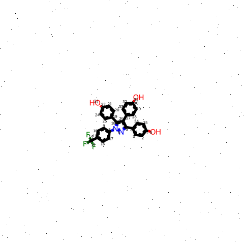 Oc1ccc(-c2nn(-c3ccc(C(F)(F)F)cc3)c(-c3ccc(O)cc3)c2-c2ccc(O)cc2)cc1